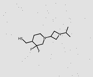 CC(C)N1CC(N2CCC(CS)C(F)(F)C2)C1